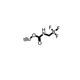 CC(C)(C)OC(=O)NC[B-](F)(F)F